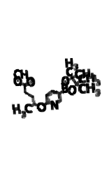 COC(=O)CCC(C)Oc1ccc(B2OC(C)(C)C(C)(C)O2)cn1